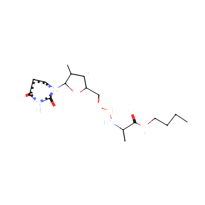 CCCCOC(=O)C(C)NPOCC1CC(C)C(n2ccc(=O)[nH]c2=O)O1